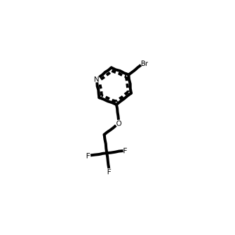 FC(F)(F)COc1cncc(Br)c1